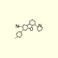 Cc1ccc(-c2cc3oc4c(-c5ccccn5)cccc4c3cc2C#N)cc1